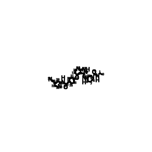 CCNC(=O)N1CCC[C@@H](Nc2n[nH]c3nccc(Oc4ccc(C(=O)Nc5cc(C#N)ccn5)cc4)c23)C1